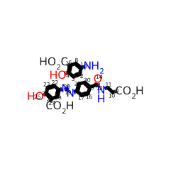 Nc1ccc(O)c(C(=O)O)c1.O=C(O)CCNC(=O)c1ccc(/N=N/c2ccc(O)c(C(=O)O)c2)cc1